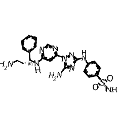 NCC[C@@H](Nc1cc(-n2nc(Nc3ccc(S(N)(=O)=O)cc3)nc2N)ncn1)c1ccccc1